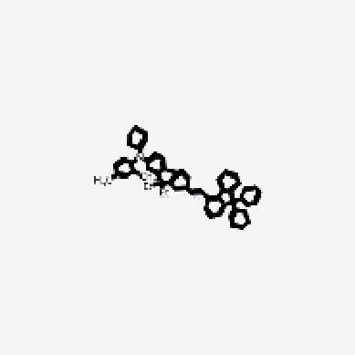 CCC1(CC)c2cc(/C=C/c3cccc4c3-c3ccccc3C4(C3=CC=CCC3)c3ccccc3)ccc2-c2ccc(N(c3ccccc3)c3ccc(C)cc3C)cc21